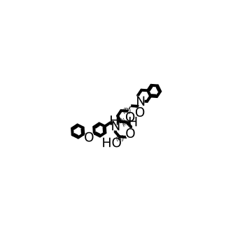 O=C(C[C@H]1CC[C@@H]2[C@H](COC[C@H](O)CN2Cc2ccc(Oc3ccccc3)cc2)O1)N1CCc2ccccc2C1